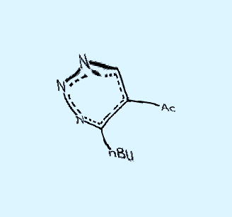 CCCCc1nnncc1C(C)=O